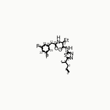 C=CCC(C)c1nnc(NC(=O)C(CC)NC(=O)Cc2cc(F)cc(F)c2)s1